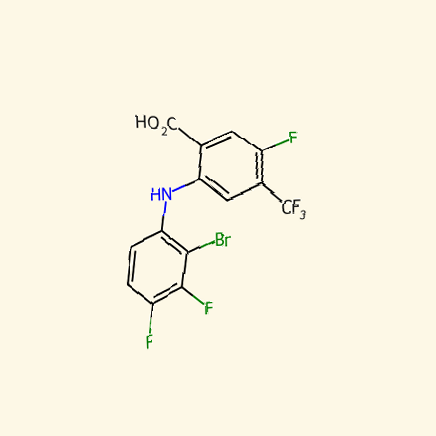 O=C(O)c1cc(F)c(C(F)(F)F)cc1Nc1ccc(F)c(F)c1Br